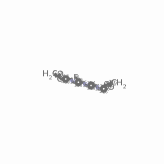 C=CC(=O)Oc1ccc(/C=C/c2ccc(/C=C/c3ccc(/C=C/c4cccc(OC(=O)C=C)c4)cc3)cc2F)cc1